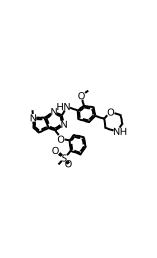 COc1cc(C2CNCCO2)ccc1Nc1nc(Oc2ccccc2S(C)(=O)=O)c2ccn(C)c2n1